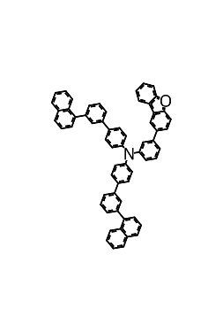 c1cc(-c2ccc(N(c3ccc(-c4cccc(-c5cccc6ccccc56)c4)cc3)c3cccc(-c4ccc5oc6ccccc6c5c4)c3)cc2)cc(-c2cccc3ccccc23)c1